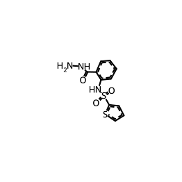 NNC(=O)c1ccccc1NS(=O)(=O)c1cccs1